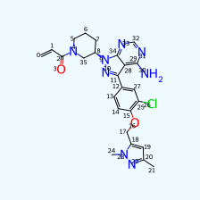 C=CC(=O)N1CCC[C@@H](n2nc(-c3ccc(OCc4cc(C)nn4C)c(Cl)c3)c3c(N)ncnc32)C1